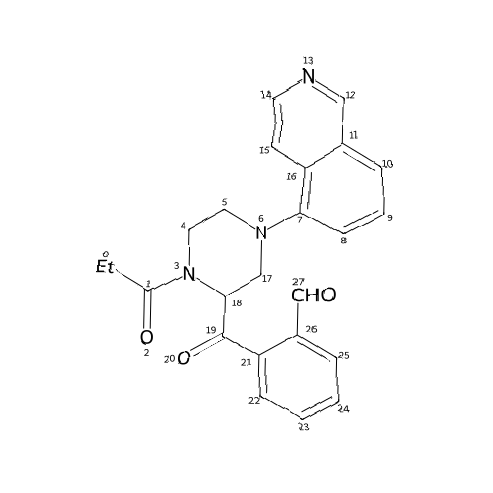 CCC(=O)N1CCN(c2cccc3cnccc23)CC1C(=O)c1ccccc1C=O